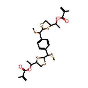 C=C(C)C(=O)OC(C)C1CSC(C(SC)c2ccc(C(SC)C3SCC(C(C)OC(=O)C(=C)C)S3)cc2)S1